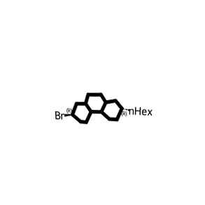 CCCCCC[C@@H]1CCC2C(CCC3C[C@H](Br)CCC32)C1